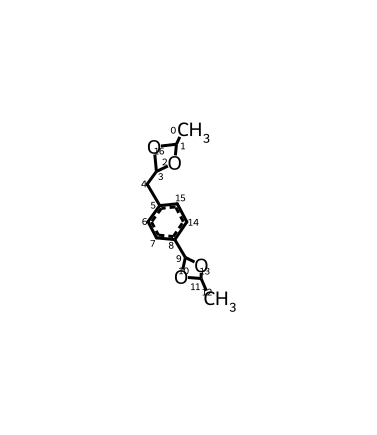 CC1OC(Cc2ccc(C3OC(C)O3)cc2)O1